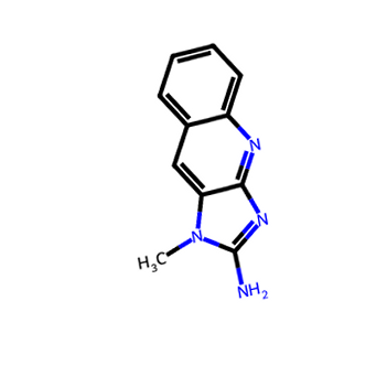 Cn1c(N)nc2nc3ccccc3cc21